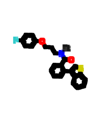 CCN(CCCOc1ccc(F)cc1)C(=O)c1ccccc1-c1csc2ccccc12